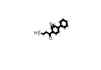 CCCC(=O)c1ccc(-c2ccccc2)c2c1O2